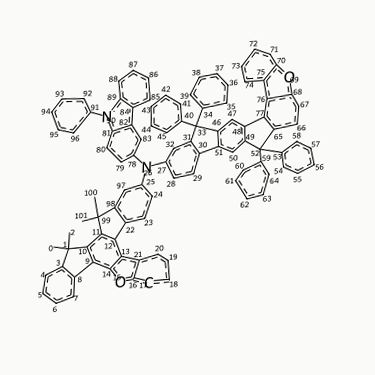 CC1(C)c2ccccc2-c2c1c1c(c3c2oc2ccccc23)-c2ccc(N(c3ccc4c(c3)C(c3ccccc3)(c3ccccc3)c3cc5c(cc3-4)C(c3ccccc3)(c3ccccc3)c3ccc4oc6ccccc6c4c3-5)c3ccc4c(c3)c3ccccc3n4-c3ccccc3)cc2C1(C)C